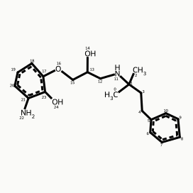 CC(C)(CCc1ccccc1)NCC(O)COc1cccc(N)c1O